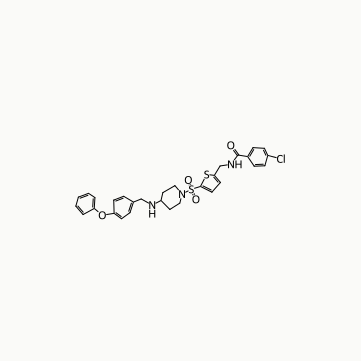 O=C(NCc1ccc(S(=O)(=O)N2CCC(NCc3ccc(Oc4ccccc4)cc3)CC2)s1)c1ccc(Cl)cc1